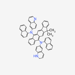 CC1(C)c2ccccc2-c2cc3c(N(c4ccc5ncccc5c4)c4cccc5ccccc45)c4ccccc4c(N(c4ccc5c(c4)C=CCN5)c4cccc5ccccc45)c3cc21